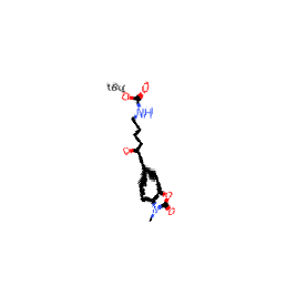 Cn1c(=O)oc2cc(C(=O)CCCCNC(=O)OC(C)(C)C)ccc21